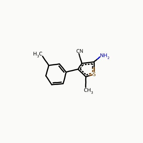 Cc1sc(N)c(C#N)c1C1=CC(C)CC=C1